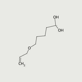 C=CCOCCCC[C](O)O